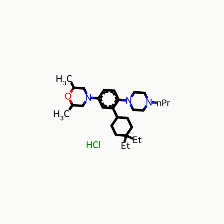 CCCN1CCN(c2ccc(N3CC(C)OC(C)C3)cc2C2CCC(CC)(CC)CC2)CC1.Cl